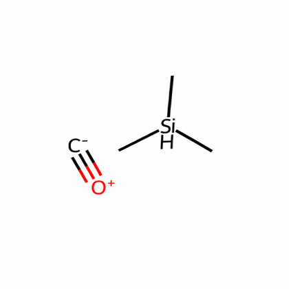 C[SiH](C)C.[C-]#[O+]